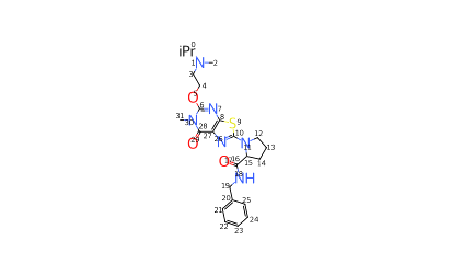 CC(C)N(C)CCOc1nc2sc(N3CCCC3C(=O)NCc3ccccc3)nc2c(=O)n1C